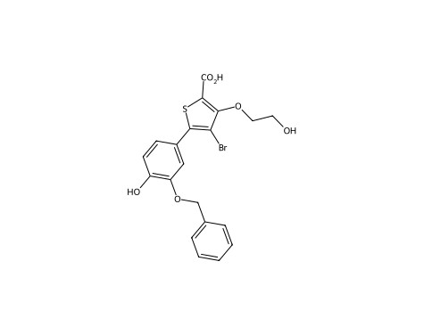 O=C(O)c1sc(-c2ccc(O)c(OCc3ccccc3)c2)c(Br)c1OCCO